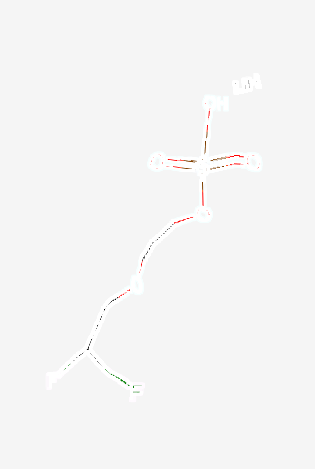 O=S(=O)(O)OCOCC(F)F.[LiH]